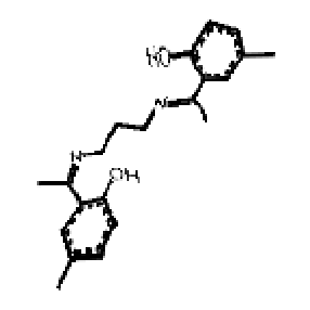 C/C(=N/CCC/N=C(\C)c1cc(C)ccc1O)c1cc(C)ccc1O